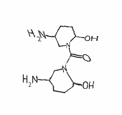 NC1CCC(O)N(C(=O)N2CC(N)CCC2O)C1